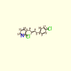 Clc1ccc(CC=CCc2[c]ccnc2Cl)cc1